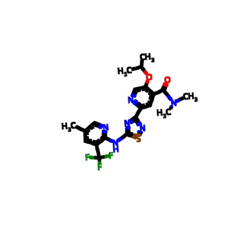 Cc1cnc(Nc2nc(-c3cc(C(=O)N(C)C)c(OC(C)C)cn3)ns2)c(C(F)(F)F)c1